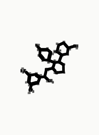 CC(OC1OCCC(C2CC(O)CCN2)C1c1ccc(F)cc1)c1cc(C(F)(F)F)cc(C(F)(F)F)c1